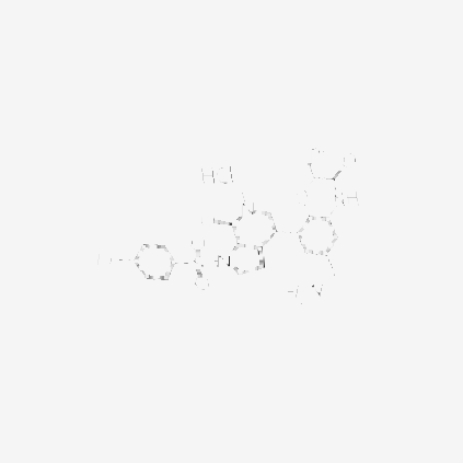 CCc1ccc(S(=O)(=O)n2ccc3c(-c4cc(CN)cc5c4OC(C(C)C)C(=O)N5)cn(C)c(=O)c32)cc1.Cl